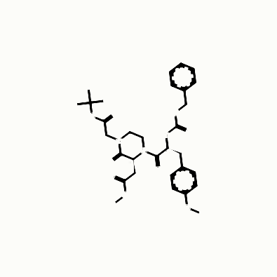 COC(=O)C[C@H]1C(=O)N(CC(=O)OC(C)(C)C)CCN1C(=O)[C@H](Cc1ccc(OC)cc1)NC(=O)OCc1ccccc1